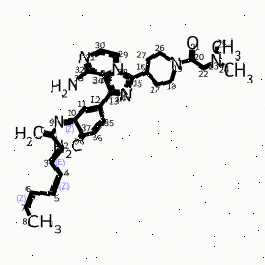 C=C(/C=C/C=C\C=C/C)/N=C1/C=C(c2nc(C3CCN(C(=O)CN(C)C)CC3)n3ccnc(N)c23)C=CC1=C